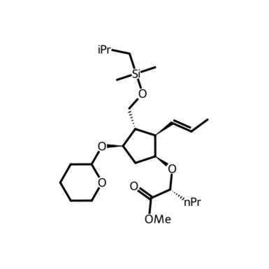 CC=C[C@@H]1[C@@H](CO[Si](C)(C)CC(C)C)[C@H](OC2CCCCO2)C[C@@H]1O[C@H](CCC)C(=O)OC